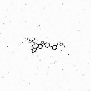 CC(C)(C)OC(=O)N1Cc2cc(C3(Cl)CCC(c4cccc(OC(F)(F)F)c4)CC3)ccc2-n2cnnc2C1